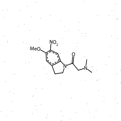 COc1cc2c(cc1[N+](=O)[O-])N(C(=O)CN(C)C)CC2